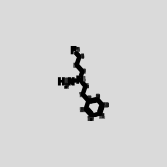 NN(CCCF)CCc1ccccc1